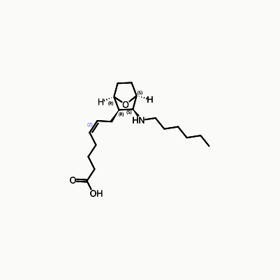 CCCCCCN[C@H]1[C@@H](C/C=C\CCCC(=O)O)[C@H]2CC[C@@H]1O2